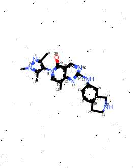 Cc1nn(C)c(C)c1-n1cc(C)c2nc(Nc3ccc4c(c3)CNCC4)ncc2c1=O